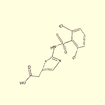 O=C(O)Cc1cnc(NS(=O)(=O)c2c(Cl)cccc2Cl)s1